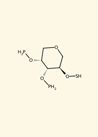 PO[C@@H]1[C@H](OP)COC[C@H]1OS